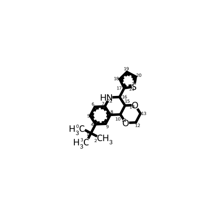 CC(C)(C)c1ccc2c(c1)C1OCCOC1C(c1cccs1)N2